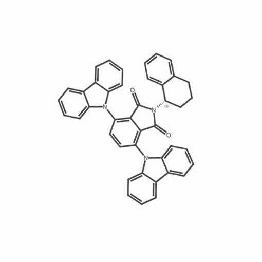 O=C1c2c(-n3c4ccccc4c4ccccc43)ccc(-n3c4ccccc4c4ccccc43)c2C(=O)N1[C@H]1CCCc2ccccc21